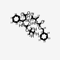 [2H]C([2H])([2H])C(C)(C)OC(=O)N[C@@H](c1ccccc1)[C@@H](OC(=O)C(C)NC(=O)OCc1ccccc1)C(=O)O